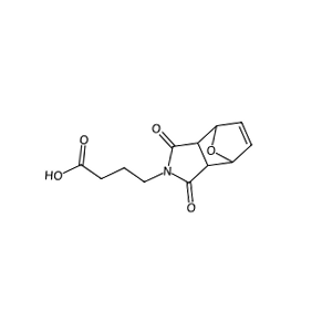 O=C(O)CCCN1C(=O)C2C3C=CC(O3)C2C1=O